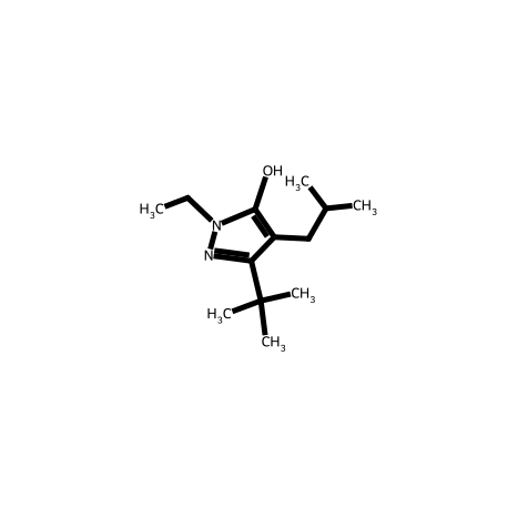 CCn1nc(C(C)(C)C)c(CC(C)C)c1O